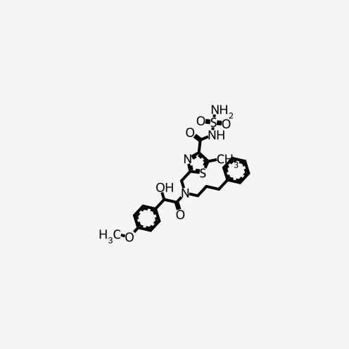 COc1ccc(C(O)C(=O)N(CCCc2ccccc2)Cc2nc(C(=O)NS(N)(=O)=O)c(C)s2)cc1